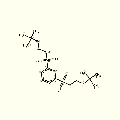 CC(C)(C)NCOS(=O)(=O)c1cccc(S(=O)(=O)OCNC(C)(C)C)c1